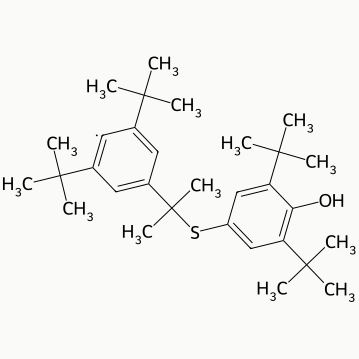 CC(C)(C)c1[c]c(C(C)(C)C)cc(C(C)(C)Sc2cc(C(C)(C)C)c(O)c(C(C)(C)C)c2)c1